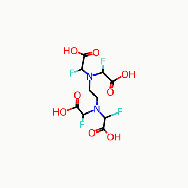 O=C(O)C(F)N(CCN(C(F)C(=O)O)C(F)C(=O)O)C(F)C(=O)O